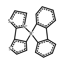 c1ccc2c(c1)-c1ccccc1[B-]21c2ccsc2-c2scc[n+]21